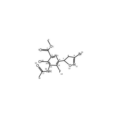 COC(=O)c1nc(C2CC(Br)=NO2)c(F)c(NC(C)=O)c1Cl